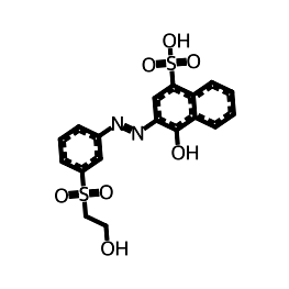 O=S(=O)(O)c1cc(N=Nc2cccc(S(=O)(=O)CCO)c2)c(O)c2ccccc12